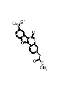 COC(=O)Cc1ccc2c(c1)oc(=O)c1c3cc([N+](=O)[O-])ccc3oc21